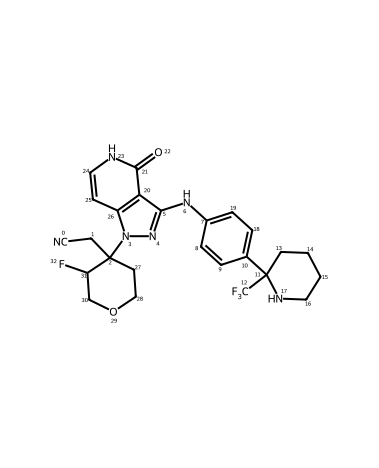 N#CCC1(n2nc(Nc3ccc(C4(C(F)(F)F)CCCCN4)cc3)c3c(=O)[nH]ccc32)CCOCC1F